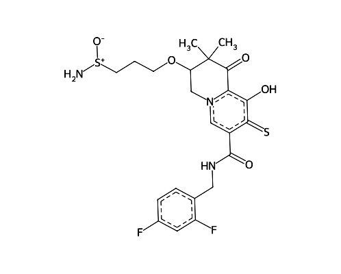 CC1(C)C(=O)c2c(O)c(=S)c(C(=O)NCc3ccc(F)cc3F)cn2CC1OCCC[S+](N)[O-]